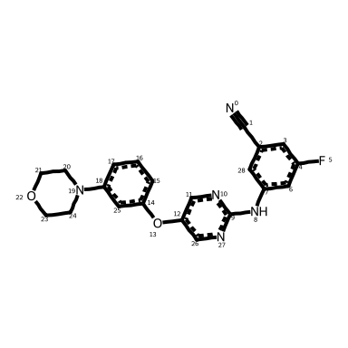 N#Cc1cc(F)cc(Nc2ncc(Oc3cccc(N4CCOCC4)c3)cn2)c1